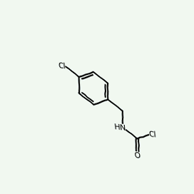 O=C(Cl)NCc1ccc(Cl)cc1